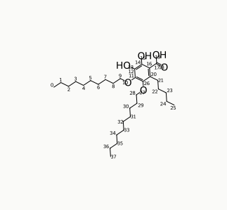 CCCCCCCCCCOc1c(O)c(O)c(C(=O)O)c(CCCCC)c1OCCCCCCCCCC